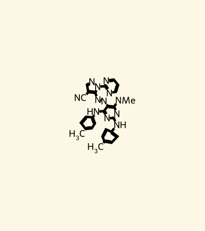 CNc1nc(Nc2ccc(C)cc2)nc(Nc2ccc(C)cc2)c1/N=N/c1c(C#N)cnn1-c1ncccn1